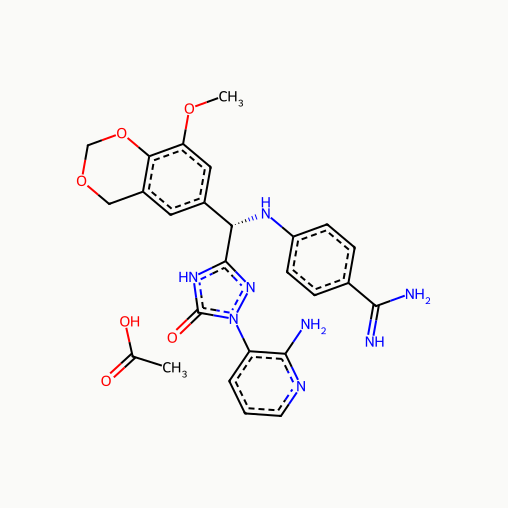 CC(=O)O.COc1cc([C@H](Nc2ccc(C(=N)N)cc2)c2nn(-c3cccnc3N)c(=O)[nH]2)cc2c1OCOC2